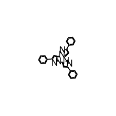 c1ccc(-c2cc3n(n2)c2cc(-c4ccccc4)nn2c2cc(-c4ccccc4)nn32)cc1